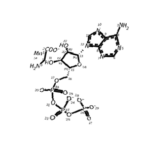 NCC(=O)[O-].Nc1ncnc2c1ncn2[C@@H]1O[C@H](COP(=O)([O-])OP(=O)([O-])OP(=O)([O-])[O-])[C@@H](O)[C@H]1O.[Mn+5]